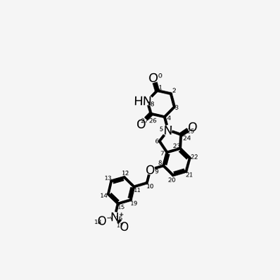 O=C1CCC(N2Cc3c(OCc4cccc([N+](=O)[O-])c4)cccc3C2=O)C(=O)N1